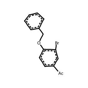 CC(=O)c1ccc(OCc2ccccc2)c(Br)c1